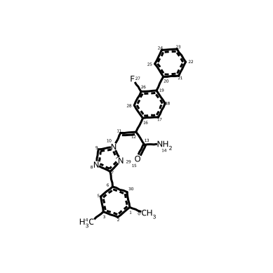 Cc1cc(C)cc(-c2ncn(C=C(C(N)=O)c3ccc(-c4ccccc4)c(F)c3)n2)c1